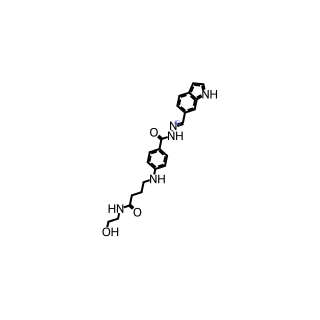 O=C(CCCNc1ccc(C(=O)N/N=C/c2ccc3cc[nH]c3c2)cc1)NCCO